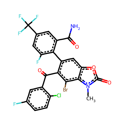 Cn1c(=O)oc2cc(-c3c(F)cc(C(F)(F)F)cc3C(N)=O)c(C(=O)c3cc(F)ccc3Cl)c(Br)c21